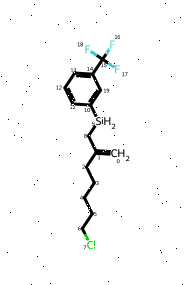 C=C(CCCCCCl)C[SiH2]c1cccc(C(F)(F)F)c1